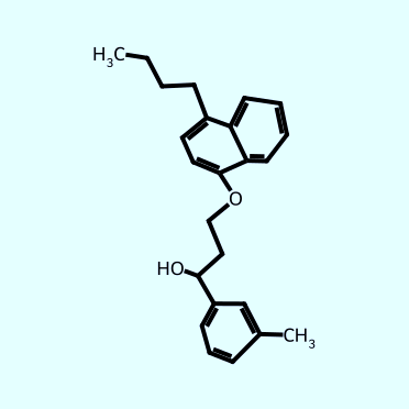 CCCCc1ccc(OCCC(O)c2cccc(C)c2)c2ccccc12